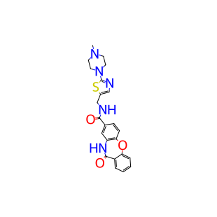 CN1CCN(c2ncc(CNC(=O)c3ccc4c(c3)NC(=O)c3ccccc3O4)s2)CC1